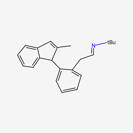 CC1=Cc2ccccc2C1c1ccccc1CC=NC(C)(C)C